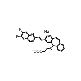 O=C([O-])CCSC1c2ccccc2C=Cc2ccc(C=Cc3ccc4cc(F)c(F)cc4n3)cc21.[Na+]